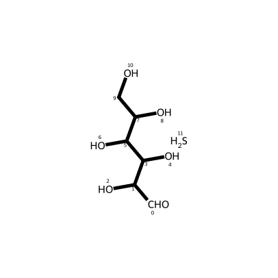 O=CC(O)C(O)C(O)C(O)CO.S